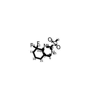 CS(=O)(=O)c1ncc2c(n1)C(F)(F)CCC2